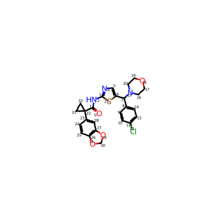 O=C(Nc1ncc(C(c2ccc(Cl)cc2)N2CCOCC2)s1)C1(c2ccc3c(c2)OCO3)CC1